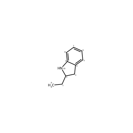 CCC1Cc2ccccc2N1